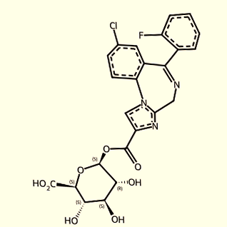 O=C(O[C@@H]1O[C@H](C(=O)O)[C@@H](O)[C@H](O)[C@H]1O)c1cn2c(n1)CN=C(c1ccccc1F)c1cc(Cl)ccc1-2